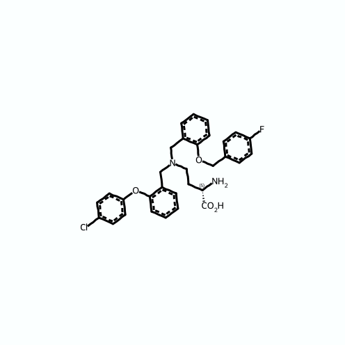 N[C@@H](CCN(Cc1ccccc1OCc1ccc(F)cc1)Cc1ccccc1Oc1ccc(Cl)cc1)C(=O)O